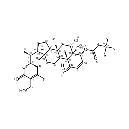 CC1=C(CO)C(=O)O[C@@H]([C@@H](C)[C@H]2CC[C@H]3[C@@H]4C[C@H](Cl)[C@]5(O)[C@@H](OC(=O)C[N+](C)(C)C)C=CC(=O)[C@]5(C)[C@H]4CC[C@]23C)C1